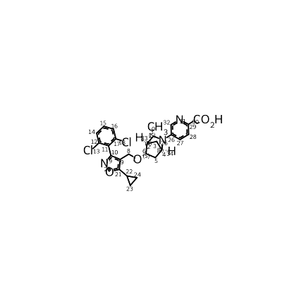 C[C@H]1[C@H]2C[C@H](C[C@@H]2OCc2c(-c3c(Cl)cccc3Cl)noc2C2CC2)N1c1ccc(C(=O)O)nc1